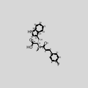 CN(C(=O)C=Cc1ccc(F)cc1)[C@@H](Cc1c[nH]c2ccccc12)C(=O)O